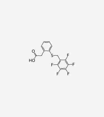 O=C(O)Cc1ccccc1SCc1c(F)c(F)c(F)c(F)c1F